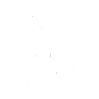 Fc1ccc(-c2nc(C3CCCCC3)c(-c3ccsc3)[nH]2)cc1